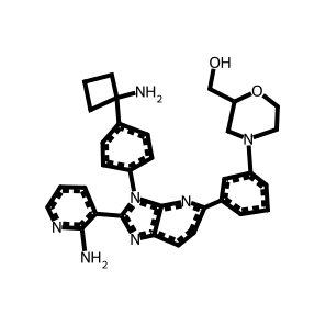 Nc1ncccc1-c1nc2ccc(-c3cccc(N4CCOC(CO)C4)c3)nc2n1-c1ccc(C2(N)CCC2)cc1